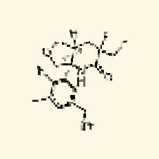 CC(C)Cc1cc(F)c(F)c([C@]23COC[C@H]2CC(F)(CF)C(=O)N3)c1